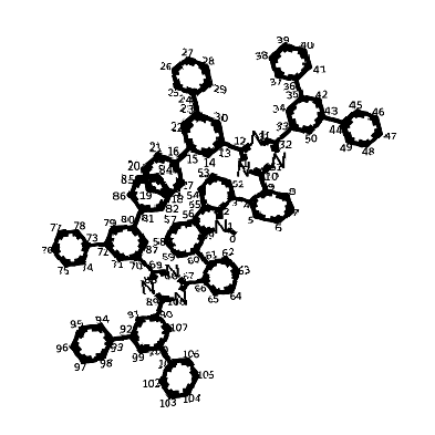 Cn1c2c(-c3ccccc3-c3nc(-c4cc(-c5ccccc5)cc(-c5ccccc5)c4)nc(-c4cc(-c5ccccc5)cc(-c5ccccc5)c4)n3)cccc2c2cccc(-c3ccccc3-c3nc(-c4cc(-c5ccccc5)cc(-c5ccccc5)c4)nc(-c4cc(-c5ccccc5)cc(-c5ccccc5)c4)n3)c21